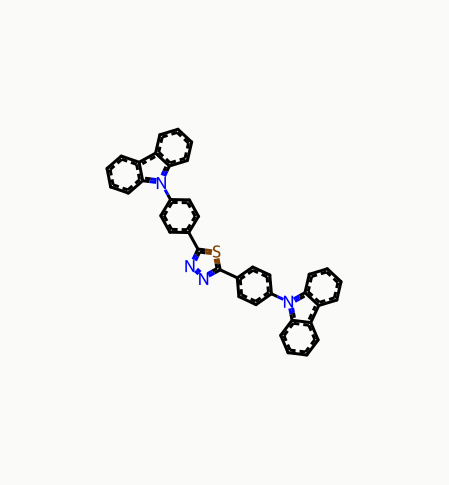 c1ccc2c(c1)c1ccccc1n2-c1ccc(-c2nnc(-c3ccc(-n4c5ccccc5c5ccccc54)cc3)s2)cc1